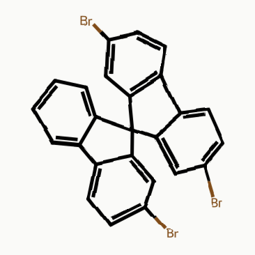 Brc1ccc2c(c1)C1(c3ccccc3-2)c2cc(Br)ccc2-c2ccc(Br)cc21